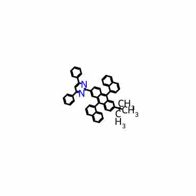 CC(C)(C)c1ccc2c(-c3cccc4ccccc34)c3cc(-c4nc(-c5ccccc5)cc(-c5ccccc5)n4)ccc3c(-c3cccc4ccccc34)c2c1